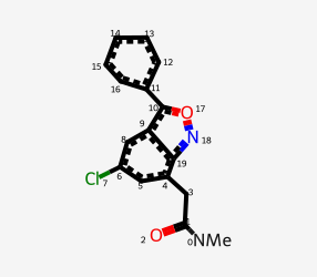 CNC(=O)Cc1cc(Cl)cc2c(-c3ccccc3)onc12